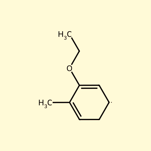 CCOC1=C[CH]CC=C1C